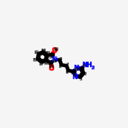 Nc1ccnc(CCCCN2C(=O)c3ccccc3C2=O)n1